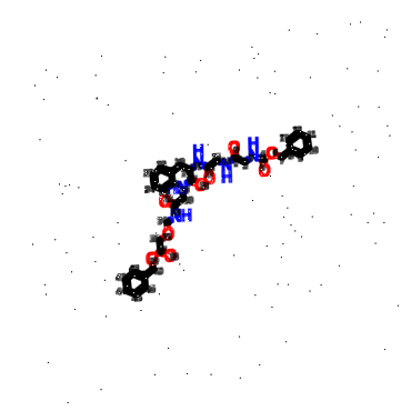 O=C(CNC(=O)OCc1ccccc1)NCC(=O)NC(Cc1ccccc1)C(=O)NCC(=O)NCOCC(=O)OCc1ccccc1